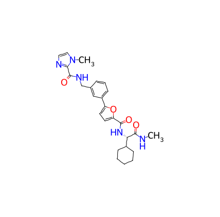 CNC(=O)[C@@H](NC(=O)c1ccc(-c2cccc(CNC(=O)c3nccn3C)c2)o1)C1CCCCC1